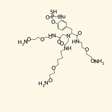 CC(C)(C)P(=O)(S)Oc1ccc(CC(C(=O)NCCOCCON)N(CC(=O)NCCCCOCCON)CC(=O)NCCOCCON)cc1